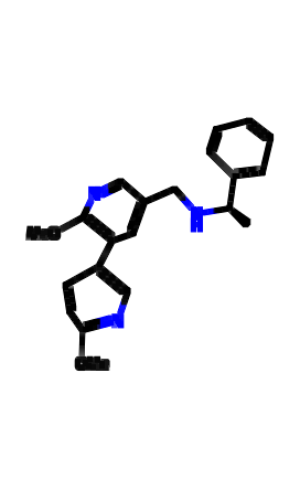 COc1ccc(-c2cc(CN[C@H](C)c3ccccc3)cnc2OC)cn1